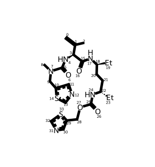 C=C(C)[C@H](NC(=O)N(C)Cc1cncs1)C(=O)N[C@@H](CC)CC[C@H](CC)NC(=O)OCc1cncs1